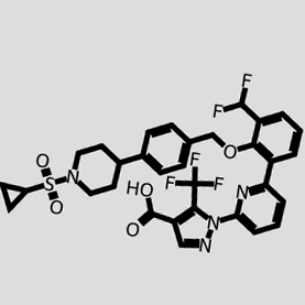 O=C(O)c1cnn(-c2cccc(-c3cccc(C(F)F)c3OCc3ccc(C4CCN(S(=O)(=O)C5CC5)CC4)cc3)n2)c1C(F)(F)F